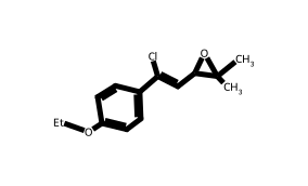 CCOc1ccc(C(Cl)=CC2OC2(C)C)cc1